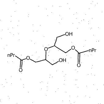 CCCC(=O)OCC(CO)OC(CO)COC(=O)CCC